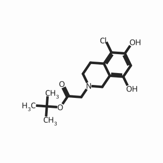 CC(C)(C)OC(=O)CN1CCc2c(Cl)c(O)cc(O)c2C1